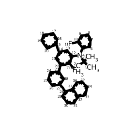 CC(C)(C)N(c1ccccc1F)c1cc(-c2ccccc2)cc(-c2cccc(-c3cccc4ccccc34)c2)c1F